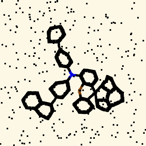 c1ccc(-c2ccc(N(c3ccc(-c4cccc5ccccc45)cc3)c3cccc4c3Sc3ccccc3C43c4cccc5ccc6cccc3c6c45)cc2)cc1